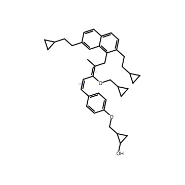 C/C(Cc1c(CCC2CC2)ccc2ccc(CCC3CC3)cc12)=C(\C=C/c1ccc(OCC2CC2O)cc1)OCC1CC1